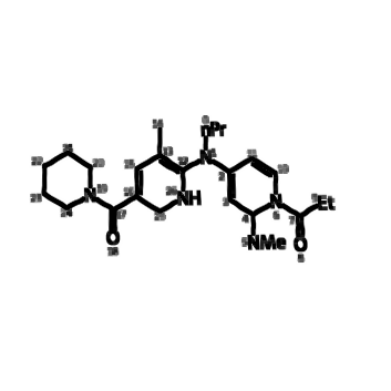 CCCN(C1=CC(NC)N(C(=O)CC)C=C1)C1=C(C)C=C(C(=O)N2CCCCC2)CN1